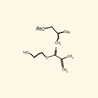 C=C(C)C(=O)OCCO.COCC(C)OC(C)=O